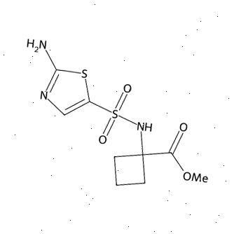 COC(=O)C1(NS(=O)(=O)c2cnc(N)s2)CCC1